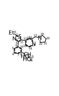 CCc1nc(-c2cccc(C)c2)c(-c2ccnc(CN3CCCC3)c2)s1.Cl.Cl